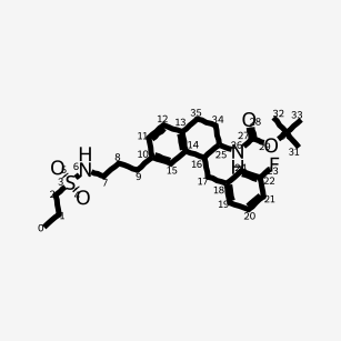 CCCS(=O)(=O)NCCCc1ccc2c(c1)C(Cc1cccc(F)c1)C(NC(=O)OC(C)(C)C)CC2